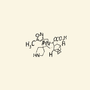 Cc1cc(CNC(=O)[C@@]2(CCC3(F)CCNCC3)[C@H](C(=O)O)[C@H]3CC[C@H]2C32CC2)no1